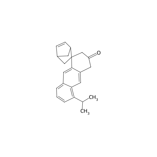 CC(C)c1cccc2cc3c(cc12)CC(=O)CC31CC2C=CC1C2